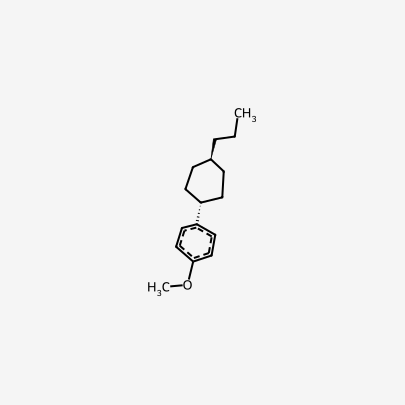 CCC[C@H]1CC[C@H](c2ccc(OC)cc2)CC1